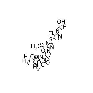 COC(=O)c1nc(Sc2ccnc(N3CC(CO)(CF)C3)c2Cl)cnc1N1CCC2(CC1)CO[C@@H](C)[C@H]2NC(=O)OC(C)(C)C